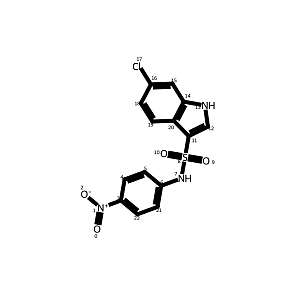 O=[N+]([O-])c1ccc(NS(=O)(=O)c2c[nH]c3cc(Cl)ccc23)cc1